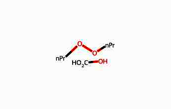 CCCOOCCC.O=C(O)O